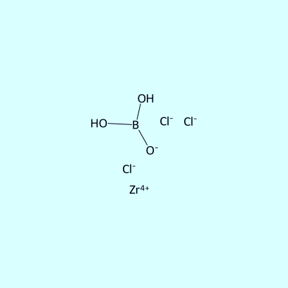 [Cl-].[Cl-].[Cl-].[O-]B(O)O.[Zr+4]